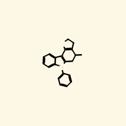 CC1Cc2c(c3ccccc3n2-c2ccccc2)C2=C1CCS2